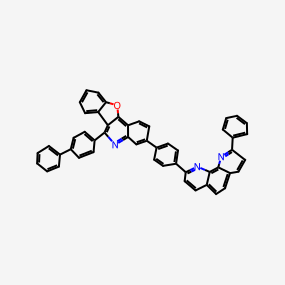 c1ccc(-c2ccc(-c3nc4cc(-c5ccc(-c6ccc7ccc8ccc(-c9ccccc9)nc8c7n6)cc5)ccc4c4oc5ccccc5c34)cc2)cc1